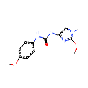 CCn1cc(NC(=O)Nc2ccc(OC(F)(F)F)cc2)nc1OC(=O)O